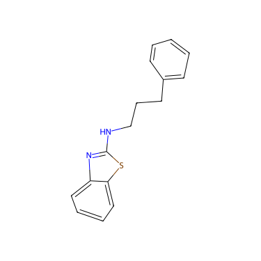 c1ccc(CCCNc2nc3ccccc3s2)cc1